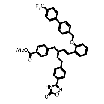 COC(=O)c1ccc(CC(C=Cc2ccccc2OCc2ccc(-c3ccc(C(F)(F)F)cc3)cc2)CCc2ccc(-c3noc(=O)[nH]3)cc2)cc1